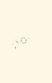 CCCCCCC(C)(C)c1ccc(C2=C(C)CCC(=O)C2)c(O)c1